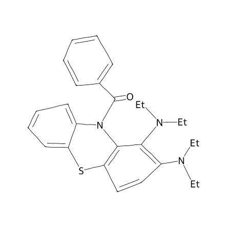 CCN(CC)c1ccc2c(c1N(CC)CC)N(C(=O)c1ccccc1)c1ccccc1S2